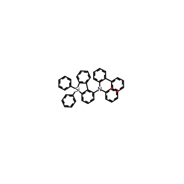 c1ccc(-c2ccccc2N(c2ccccc2)c2cccc3c2-c2ccccc2[Si]3(c2ccccc2)c2ccccc2)cc1